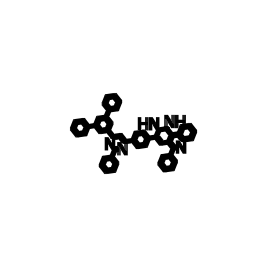 N=C1C(=N)c2c(c(-c3ccccc3)nc3ccccc23)C=C1c1ccc(-c2cc(-c3cc(-c4ccccc4)cc(-c4ccccc4)c3)nc(-c3ccccc3)n2)cc1